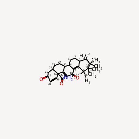 CC1C2CCC3C(=C2C(C)(C)C(C)(C)C1(C)C)C(=O)C=C1C3CCC2CC(=O)C=CC12C(N)=O